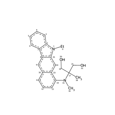 CCn1c2ccccc2c2cc3cccc(N(C)C(C)(CO)CO)c3cc21